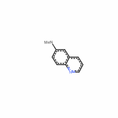 CNc1ccc2ncccc2c1